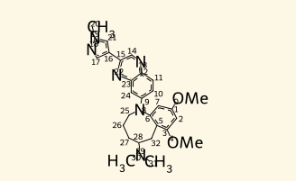 COc1cc(OC)c2c(c1)N(c1ccc3ncc(-c4cnn(C)c4)nc3c1)CCCC(N(C)C)C2